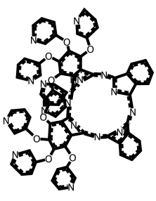 c1cncc(Oc2c(Oc3cccnc3)c(Oc3cccnc3)c3c(c2Oc2cccnc2)-c2nc-3nc3[nH]c(nc4nc(nc5[nH]c(n2)c2ccccc52)-c2ccccc2-4)c2c(Oc4cccnc4)c(Oc4cccnc4)c(Oc4cccnc4)c(Oc4cccnc4)c32)c1